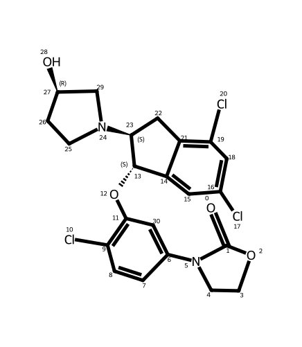 O=C1OCCN1c1ccc(Cl)c(O[C@H]2c3cc(Cl)cc(Cl)c3C[C@@H]2N2CC[C@@H](O)C2)c1